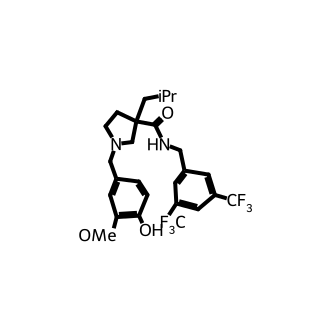 COc1cc(CN2CCC(CC(C)C)(C(=O)NCc3cc(C(F)(F)F)cc(C(F)(F)F)c3)C2)ccc1O